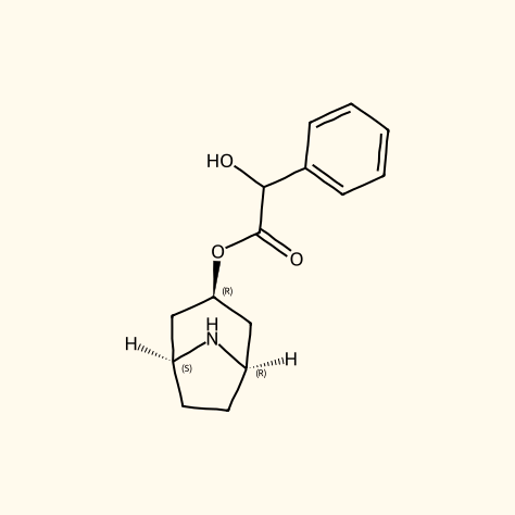 O=C(O[C@H]1C[C@H]2CC[C@@H](C1)N2)C(O)c1ccccc1